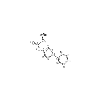 CC(C)(C)OC(=O)O[n+]1ccc(-c2ccccc2)cc1